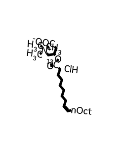 CCCCCCCC/C=C\CCCCCCC[13C](=O)OC(CC(=O)[O-])C[N+](C)(C)C.Cl